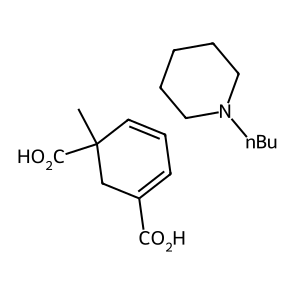 CC1(C(=O)O)C=CC=C(C(=O)O)C1.CCCCN1CCCCC1